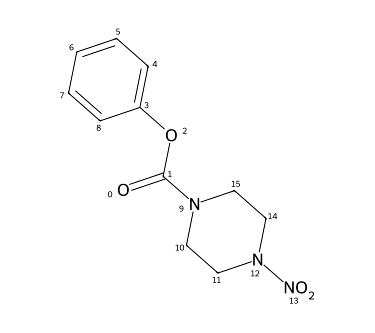 O=C(Oc1ccccc1)N1CCN([N+](=O)[O-])CC1